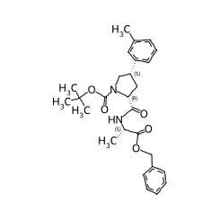 Cc1cccc([C@@H]2C[C@H](C(=O)N[C@@H](C)C(=O)OCc3ccccc3)N(C(=O)OC(C)(C)C)C2)c1